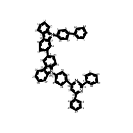 c1ccc(-c2ccc(-n3c4ccccc4c4ccc(-c5ccc6c(c5)c5ccccc5n6-c5ccc(-c6cc(-c7ccccc7)nc(-c7ccccc7)n6)cc5)cc43)cc2)cc1